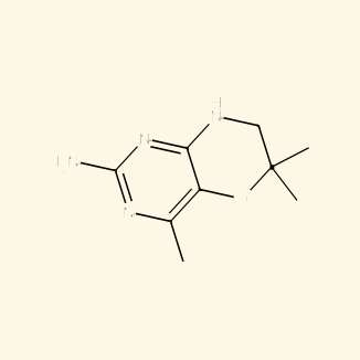 Cc1nc(N)nc2c1OC(C)(C)CN2